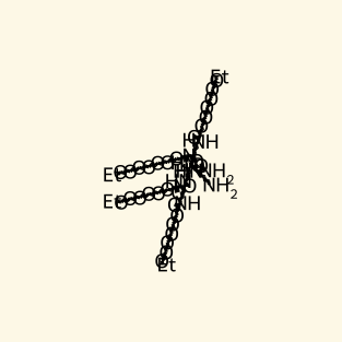 CCOCCOCCOCCOCCOCCOCCCC(=O)NCCCCC(NC(=O)CCOCCOCCOCCOCCOCCOCCOCC)C(=O)N[C@H](CCCCNC(=O)C(CCCCNC(=O)CCOCCOCCOCCOCCOCCOCC)NC(=O)CCOCCOCCOCCOCCOCCOCC)C(=O)NC(CCCCN)C(N)=O